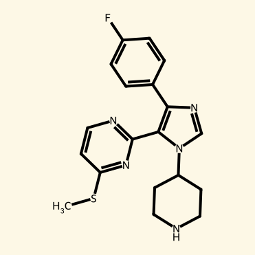 CSc1ccnc(-c2c(-c3ccc(F)cc3)ncn2C2CCNCC2)n1